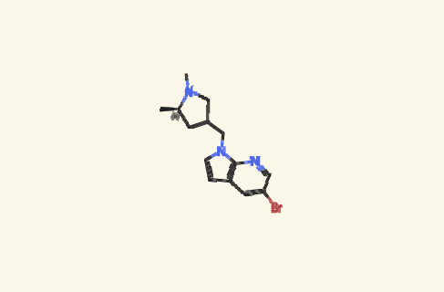 C[C@@H]1CC(Cn2ccc3cc(Br)cnc32)CN1C